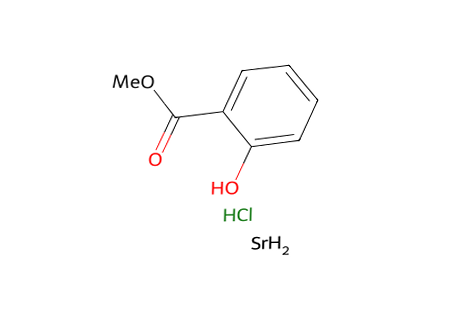 COC(=O)c1ccccc1O.Cl.[SrH2]